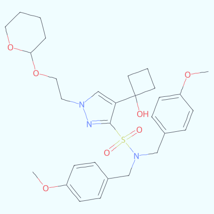 COc1ccc(CN(Cc2ccc(OC)cc2)S(=O)(=O)c2nn(CCOC3CCCCO3)cc2C2(O)CCC2)cc1